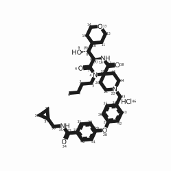 CCCCN1C(=O)[C@@H]([C@H](O)C2CCOCC2)NC(=O)C12CCN(Cc1ccc(Oc3ccc(C(=O)NCC4CC4)cc3)cc1)CC2.Cl